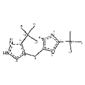 CC(C)(C)c1nnc(Cc2[c][nH]nc2C(C)(C)C)o1